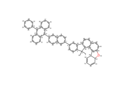 CC1(C)c2ccc(-c3ccc4cc(-c5c6ccccc6c(-c6ccccc6)c6ccccc56)ccc4c3)cc2-c2ccc3ccc4c(c3c21)C1C=CC=CC1O4